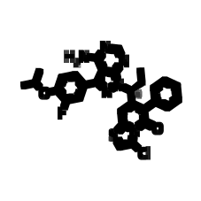 CC[C@@H](c1cc2scc(Cl)n2c(=O)c1-c1ccccc1)n1nc(-c2ccc(OC(C)C)c(F)c2)c2c(N)ncnc21